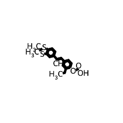 CCc1cc(C=C(C)c2ccc3c(c2)SC(C)(C)S3)ccc1OC(=O)O